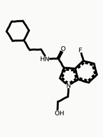 O=C(NCCC1CCCCC1)c1cn(CCO)c2cccc(F)c12